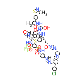 Cc1ncsc1-c1ccc([C@H](C)NC(=O)[C@@H]2C[C@@H](O)CN2C(=O)[C@@H](NCCCCCCC(=O)N2CCN(CC3CCN(CC4(C)CCC(c5ccc(Cl)cc5)=C(CN5CCN(c6ccc(C(=O)NS(=O)(=O)c7ccc(N[C@H](CCN8CCOCC8)CSc8ccccc8)c(S(=O)(=O)C(F)(F)F)c7)cc6)CC5)C4)CC3)CC2)C(C)(C)C)cc1